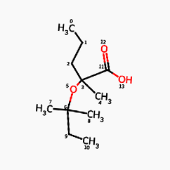 CCCC(C)(OC(C)(C)CC)C(=O)O